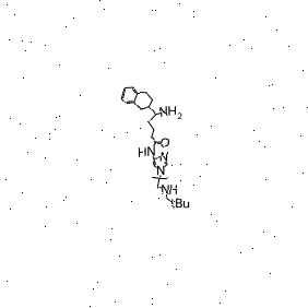 CC(C)(C)CNCC(C)(C)n1cnc(NC(=O)CCCC(N)C2CCc3ccccc3C2)c1